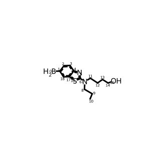 Bc1ccc2nc(N(CCC)CCCCO)sc2c1